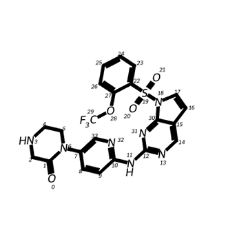 O=C1CNCCN1c1ccc(Nc2ncc3ccn(S(=O)(=O)c4ccccc4OC(F)(F)F)c3n2)nc1